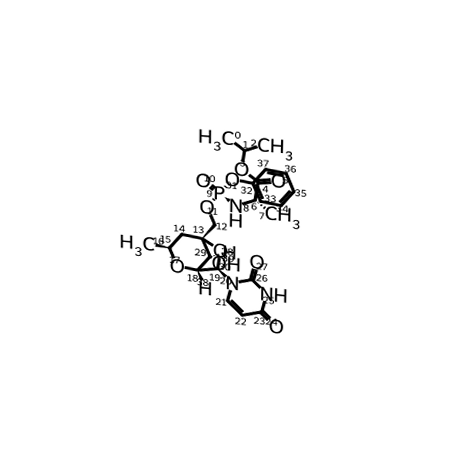 CC(C)OC(=O)[C@H](C)N[P@](=O)(OC[C@@]12C[C@H](C)O[C@@H]([C@H](n3ccc(=O)[nH]c3=O)O1)[C@@H]2O)Oc1ccccc1